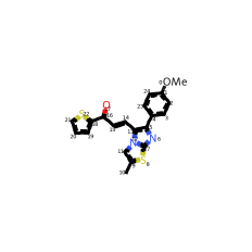 COc1ccc(-c2nc3sc(C)cn3c2C=CC(=O)c2cccs2)cc1